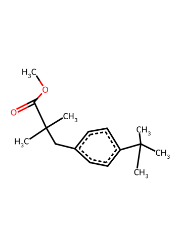 COC(=O)C(C)(C)Cc1ccc(C(C)(C)C)cc1